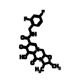 CC1OC2Cn3cc(C(=O)NCc4ccc(F)cc4F)c(=O)c(O)c3C(=O)N2C1C